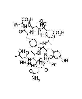 CC(C)[C@H](NC(=O)[C@H](Cc1ccccc1)NC(=O)[C@H](CO)NC(=O)[C@H](CC(=O)O)NC(=O)[C@H](C)NC(=O)[C@H](Cc1ccc(O)cc1)NC(=O)[C@@H](NC(=O)[C@H](CC(N)=O)NC(=O)[C@@H](NC(=O)[C@@H](N)[C@@H](C)O)[C@@H](C)O)C(C)C)C(=O)O